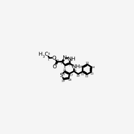 CCOC(=O)c1cc(NC(Cc2ccccc2)c2ccsc2)[nH]n1